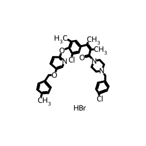 Br.C/C(C(=O)N1CCN(Cc2ccc(Cl)cc2)CC1)=C(\C)c1cc(C)c(Oc2ccc(OCc3ccc(C)cc3)cn2)c(Cl)c1